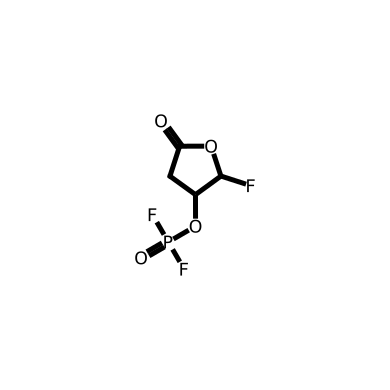 O=C1CC(OP(=O)(F)F)C(F)O1